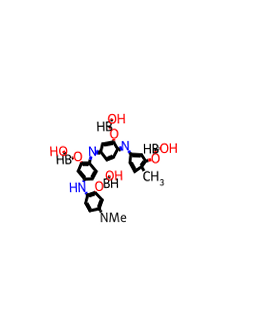 CNc1ccc(Nc2ccc(N=C3C=CC(=Nc4ccc(C)c(OBO)c4)C(OBO)=C3)c(OBO)c2)c(OBO)c1